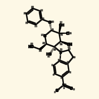 O=[N+]([O-])c1ccc2c(c1)CCN2[C@]1(O)[C@H](O)[C@@](O)(Cl)[C@@H](Oc2ccccc2)O[C@@H]1CO